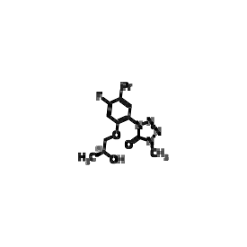 CC(C)c1cc(-n2nnn(C)c2=O)c(OC[C@H](C)O)cc1F